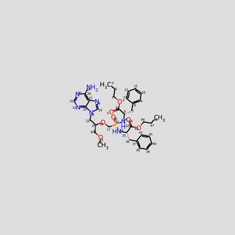 CCCOC(=O)[C@H](Cc1ccccc1)NP(=O)(CO[C@@H](COC)Cn1cnc2c(N)ncnc21)N[C@@H](Cc1ccccc1)C(=O)OCCC